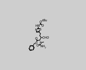 CN(C(N)=O)[C@H](C(=O)OCc1ccccc1)[C@H](C=O)CCc1cnc(NC(=O)OC(C)(C)C)s1